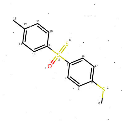 CSc1ccc(S(=O)(=S)c2ccc(C)cc2)cc1